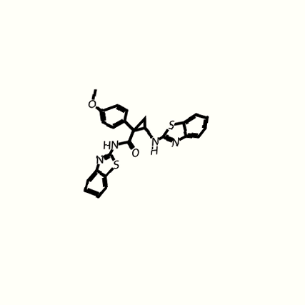 COc1ccc(C2(C(=O)Nc3nc4ccccc4s3)CC2Nc2nc3ccccc3s2)cc1